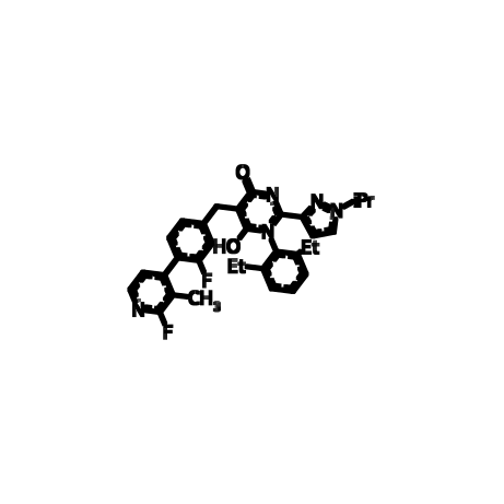 CCc1cccc(CC)c1-n1c(-c2ccn(C(C)C)n2)nc(=O)c(Cc2ccc(-c3ccnc(F)c3C)c(F)c2)c1O